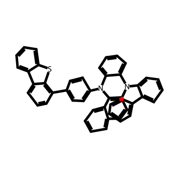 c1ccc(-n2c3ccccc3c3ccccc32)c(N(c2ccc(-c3cccc4c3sc3ccccc34)cc2)c2cccc3ccccc23)c1